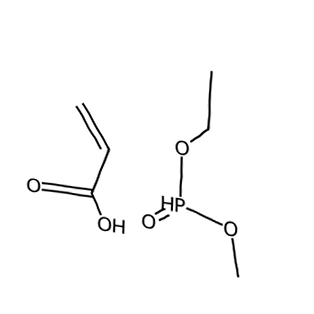 C=CC(=O)O.CCO[PH](=O)OC